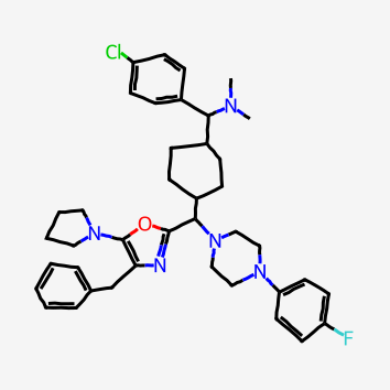 CN(C)C(c1ccc(Cl)cc1)C1CCC(C(c2nc(Cc3ccccc3)c(N3CCCC3)o2)N2CCN(c3ccc(F)cc3)CC2)CC1